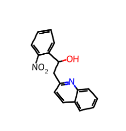 O=[N+]([O-])c1ccccc1C(O)Cc1ccc2ccccc2n1